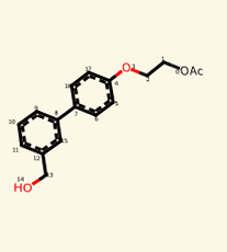 CC(=O)OCCOc1ccc(-c2cccc(CO)c2)cc1